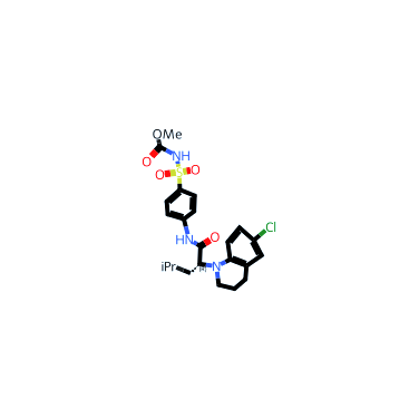 COC(=O)NS(=O)(=O)c1ccc(NC(=O)[C@@H](CC(C)C)N2CCCc3cc(Cl)ccc32)cc1